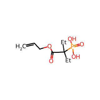 C=CCOC(=O)C(CC)(CC)P(=O)(O)O